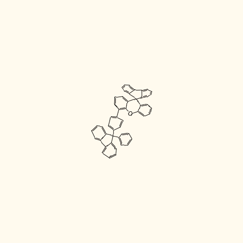 c1ccc(C2(c3ccc(-c4cccc5c4Oc4ccccc4C54c5ccccc5-c5ccccc54)cc3)c3ccccc3-c3ccccc32)cc1